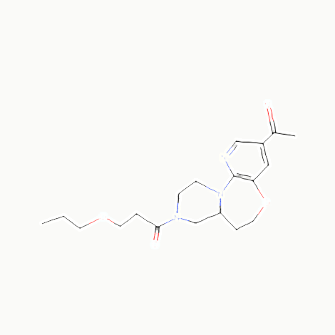 CCCOCCC(=O)N1CCN2c3ncc(C(C)=O)cc3OCCC2C1